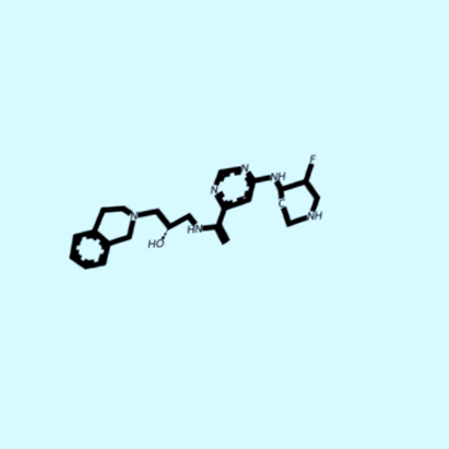 C=C(NC[C@H](O)CN1CCc2ccccc2C1)c1cc(NC2CCNCC2F)ncn1